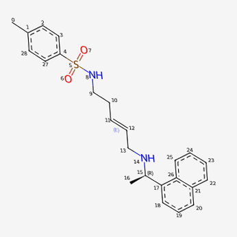 Cc1ccc(S(=O)(=O)NCC/C=C/CN[C@H](C)c2cccc3ccccc23)cc1